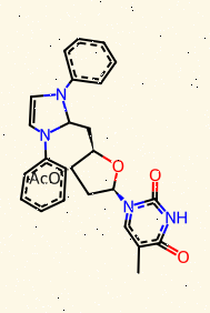 CC(=O)O[C@H]1C[C@H](n2cc(C)c(=O)[nH]c2=O)O[C@@H]1CC1N(c2ccccc2)C=CN1c1ccccc1